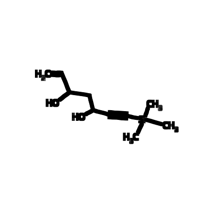 C=CC(O)CC(O)C#C[Si](C)(C)C